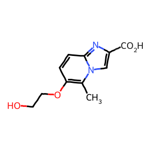 Cc1c(OCCO)ccc2nc(C(=O)O)cn12